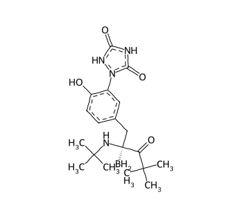 B[C@@](Cc1ccc(O)c(-n2[nH]c(=O)[nH]c2=O)c1)(NC(C)(C)C)C(=O)C(C)(C)C